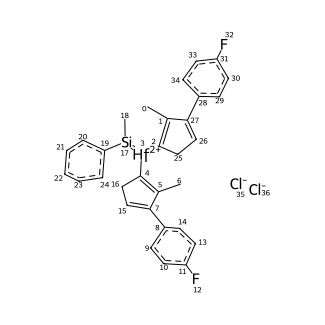 CC1=[C]([Hf+2]([C]2=C(C)C(c3ccc(F)cc3)=CC2)=[Si](C)c2ccccc2)CC=C1c1ccc(F)cc1.[Cl-].[Cl-]